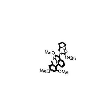 COc1cc(C)c(-c2cccc3c(N(CC4CCCO4)C(=O)OC(C)(C)C)c(OC)nn23)c(OC)c1